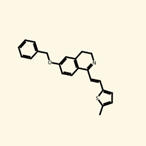 Cc1ccc(/C=C/C2=NCCc3cc(OCc4ccccc4)ccc32)s1